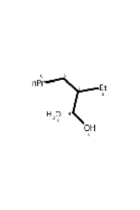 CCCCC(CC)CO.O